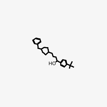 CC(C)(C)c1ccc(C(O)CCCC2CCC(Cc3ccccc3)CC2)cc1